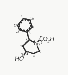 O=C(O)N1CCC(O)CC1c1ccccc1